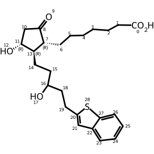 O=C(O)CCCCCC[C@H]1C(=O)C[C@@H](O)[C@@H]1CCC(O)CCc1cc2ccccc2s1